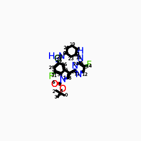 CC(C)(C)OC(=O)n1cc(-c2ncc(F)c(N[C@H]3CCC[C@@H](N)C3)n2)c2cc(Cl)cc(F)c21